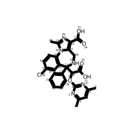 Cc1cc(C)nc(OC(C(=O)O)C2(c3ccccc3)NCc3c(C(=O)O)nc(C)n3-c3ccc(Cl)cc32)n1